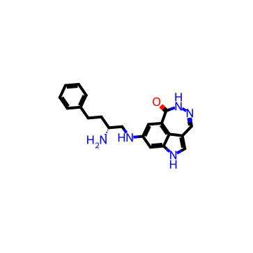 N[C@H](CCc1ccccc1)CNc1cc2c3c(c[nH]c3c1)C=NNC2=O